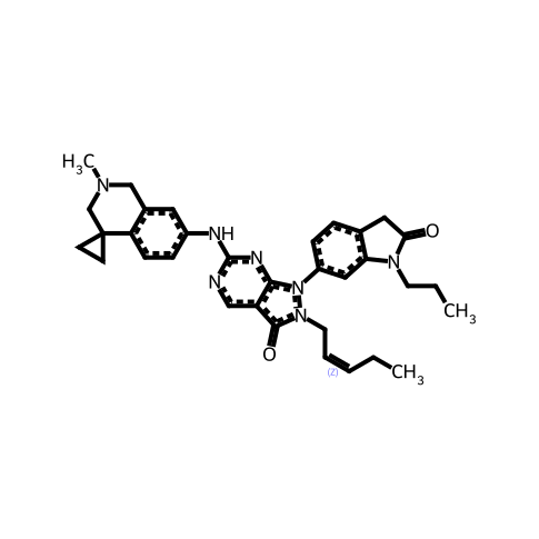 CC/C=C\Cn1c(=O)c2cnc(Nc3ccc4c(c3)CN(C)CC43CC3)nc2n1-c1ccc2c(c1)N(CCC)C(=O)C2